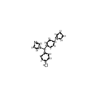 Clc1ccc(C(c2ccc(-n3cccc3)cc2)n2ccnc2)cc1